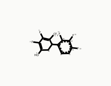 OC1=C(F)C(F)=C(C(F)(F)F)C(c2ccc(F)c(F)c2F)[CH]1